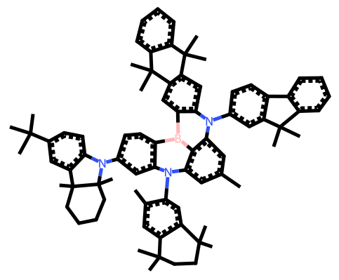 Cc1cc2c3c(c1)N(c1cc4c(cc1C)C(C)(C)CCC4(C)C)c1cc(N4c5ccc(C(C)(C)C)cc5C5(C)CCCCC45C)ccc1B3c1cc3c(cc1N2c1ccc2c(c1)C(C)(C)c1ccccc1-2)C(C)(C)c1ccccc1C3(C)C